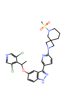 CC(Oc1ccc2[nH]nc(-c3ccc(N4CC5(CCCN(S(C)(=O)=O)C5)C4)nc3)c2c1)c1c(Cl)cncc1Cl